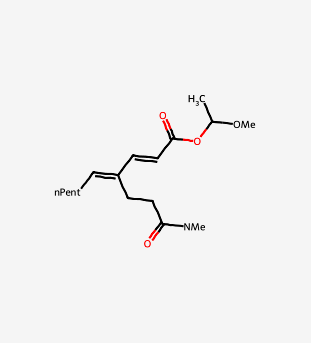 CCCCC/C=C(/C=C/C(=O)OC(C)OC)CCC(=O)NC